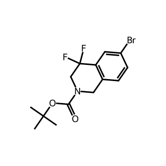 CC(C)(C)OC(=O)N1Cc2ccc(Br)cc2C(F)(F)C1